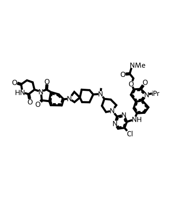 CNC(=O)COc1cc2cc(Nc3nc(N4CCC(N(C)C5CCC6(CC5)CN(c5ccc7c(c5)C(=O)N(C5CCC(=O)NC5=O)C7=O)C6)CC4)ncc3Cl)ccc2n(C(C)C)c1=O